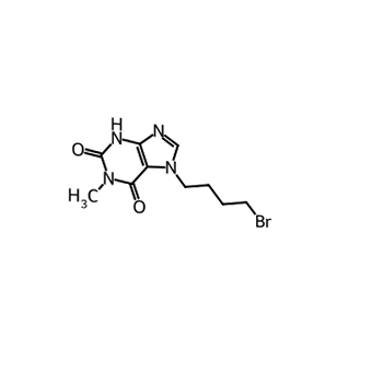 Cn1c(=O)[nH]c2ncn(CCCCBr)c2c1=O